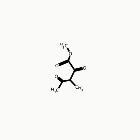 COC(=O)C(=O)C(C)C(C)=O